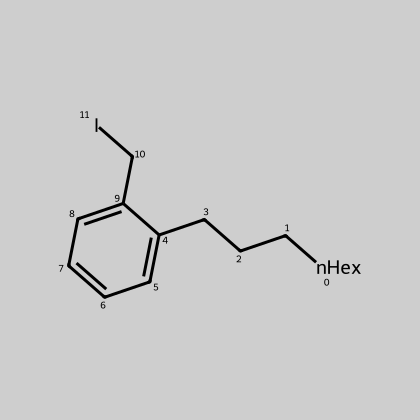 CCCCCCCCCc1ccccc1CI